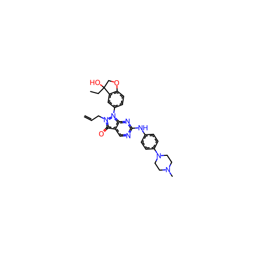 C=CCn1c(=O)c2cnc(Nc3ccc(N4CCN(C)CC4)cc3)nc2n1-c1ccc2c(c1)C(O)(CC)CO2